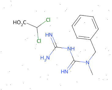 CN(Cc1ccccc1)C(=N)NC(=N)N.O=C(O)C(Cl)Cl